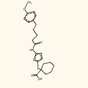 COc1ccc(CCCCC(=O)Nc2ncc(SC3(C(=O)O)CCCCC3)s2)cc1